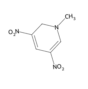 CN1C=C([N+](=O)[O-])C=C([N+](=O)[O-])C1